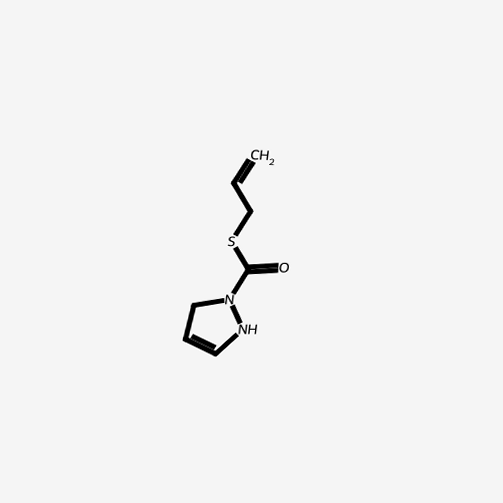 C=CCSC(=O)N1CC=CN1